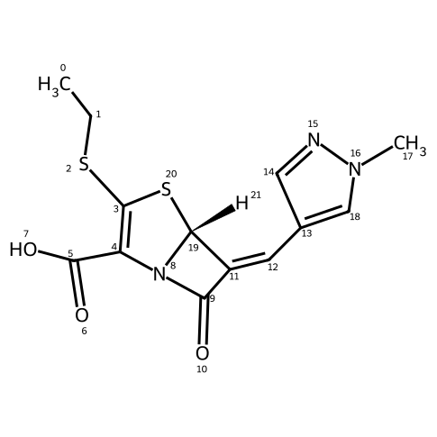 CCSC1=C(C(=O)O)N2C(=O)/C(=C/c3cnn(C)c3)[C@H]2S1